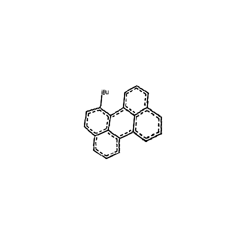 CCC(C)c1ccc2cccc3c4cccc5cccc(c1c23)c54